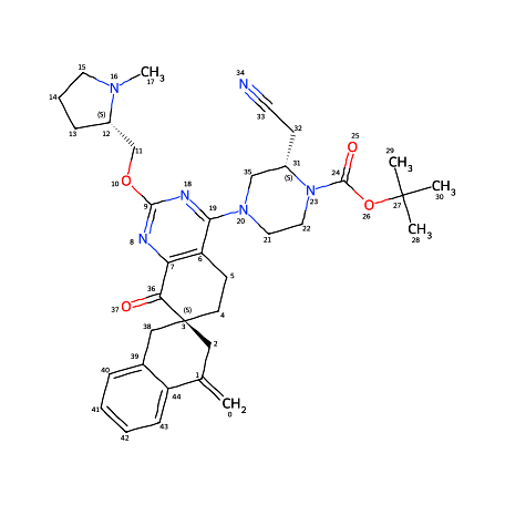 C=C1C[C@@]2(CCc3c(nc(OC[C@@H]4CCCN4C)nc3N3CCN(C(=O)OC(C)(C)C)[C@@H](CC#N)C3)C2=O)Cc2ccccc21